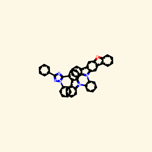 c1ccc(-c2nc(-c3cccc4c3c3ccccc3n4-c3ccccc3-n3c4ccccc4c4cc5oc6ccccc6c5cc43)n(-c3ccccc3)n2)cc1